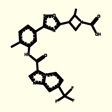 Cc1ccc(-c2noc(C3CN(C(=O)O)C3C)n2)cc1NC(=O)c1cnc2cc(C(F)(F)F)ccn12